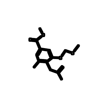 C=C(C)Cc1c(C)cc(C(=O)OC)cc1OCOC